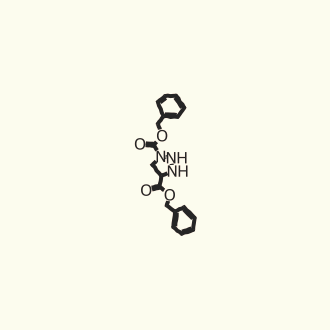 O=C(OCc1ccccc1)C1CN(C(=O)OCc2ccccc2)NN1